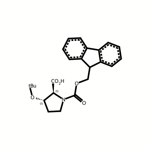 CC(C)(C)O[C@H]1CCN(C(=O)OCC2c3ccccc3-c3ccccc32)[C@@H]1C(=O)O